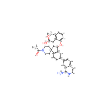 CC(=O)N1CCC2(CC1)CC(Oc1cccc(C)c1CC(=O)O)c1cc(-c3ccc4ccnc(N)c4c3)ccc12